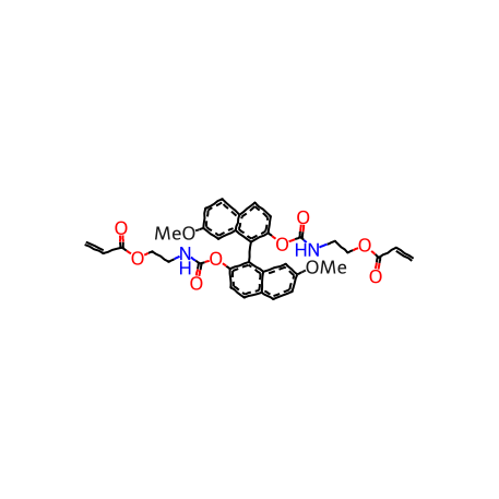 C=CC(=O)OCCNC(=O)Oc1ccc2ccc(OC)cc2c1-c1c(OC(=O)NCCOC(=O)C=C)ccc2ccc(OC)cc12